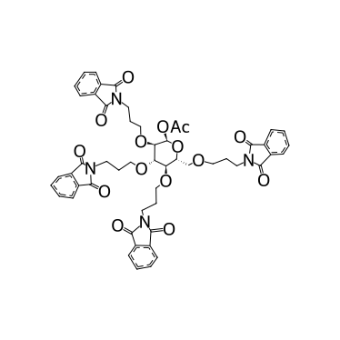 CC(=O)O[C@H]1O[C@H](COCCCN2C(=O)c3ccccc3C2=O)[C@@H](OCCCN2C(=O)c3ccccc3C2=O)[C@H](OCCCN2C(=O)c3ccccc3C2=O)[C@H]1OCCCN1C(=O)c2ccccc2C1=O